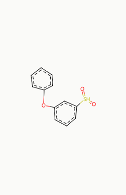 O=[SH](=O)c1cccc(Oc2ccccc2)c1